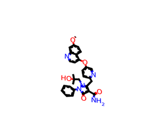 COc1ccc2c(Oc3ccc(Cc4c(C(N)=O)c(=O)n(-c5ccccc5)n4CC(C)(C)O)nc3)ccnc2c1